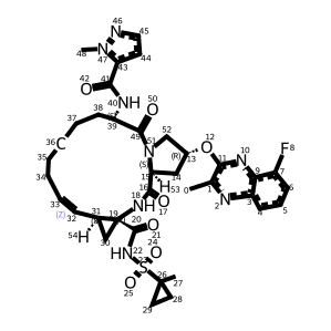 Cc1nc2cccc(F)c2nc1O[C@@H]1C[C@H]2C(=O)N[C@]3(C(=O)NS(=O)(=O)C4(C)CC4)C[C@H]3/C=C\CCCCC[C@H](NC(=O)c3ccnn3C)C(=O)N2C1